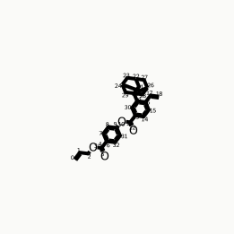 C=CCOC(=O)c1ccc(OC(=O)c2ccc(C=C)c(C34CC5CC(CC(C5)C3)C4)c2)cc1